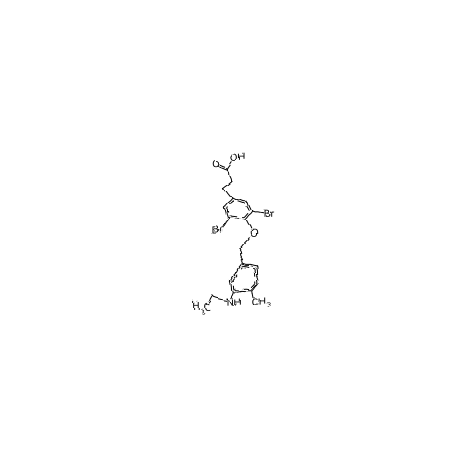 CCNc1cc(COc2c(Br)cc(CCC(=O)O)cc2Br)ccc1C